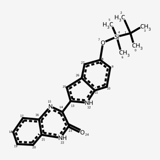 CC(C)(C)[Si](C)(C)Oc1ccc2[nH]c(-c3nc4ccccc4[nH]c3=O)cc2c1